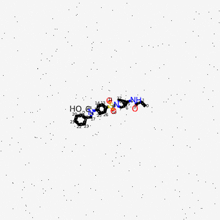 C=CC(=O)NC1C2CN(S(=O)(=O)c3ccc(N(Cc4ccccc4)C(=O)O)cc3)CC21